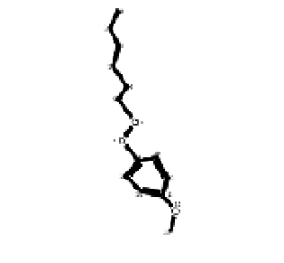 CCCCCCOOc1ccc(OC)cc1